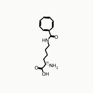 N[C@@H](CCCCNC(=O)C1=CC=CC=CC=C1)C(=O)O